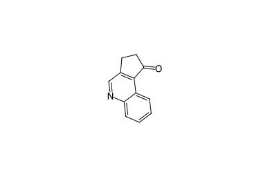 O=C1CCc2cnc3ccccc3c21